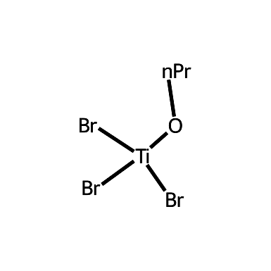 CCC[O][Ti]([Br])([Br])[Br]